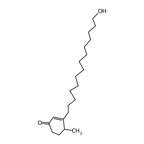 CC1CCC(=O)C=C1CCCCCCCCCCCCCCO